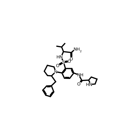 CC(C)C(NS(=O)(=O)c1cc(NC(=O)C2CCCN2)ccc1N1CCCCC1Cc1ccccc1)C(N)=O